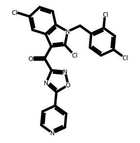 O=C(c1noc(-c2ccncc2)n1)c1c(Cl)n(Cc2ccc(Cl)cc2Cl)c2ccc(Cl)cc12